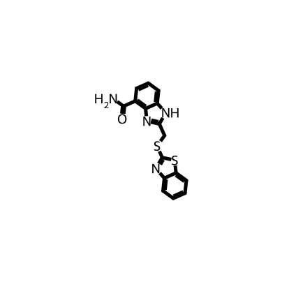 NC(=O)c1cccc2[nH]c(CSc3nc4ccccc4s3)nc12